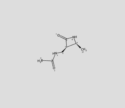 BC(=O)NC[C@H]1C(=O)N[C@H]1C